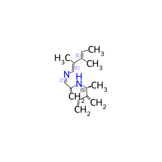 C=CC(=C)[C@H](C)NC(=C)\C=N/C=C(C)/C(C)=C/C